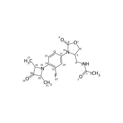 CC(=O)NCC1COC(=O)N1c1ccc(N2C(C)C(=O)C2C)c(F)c1